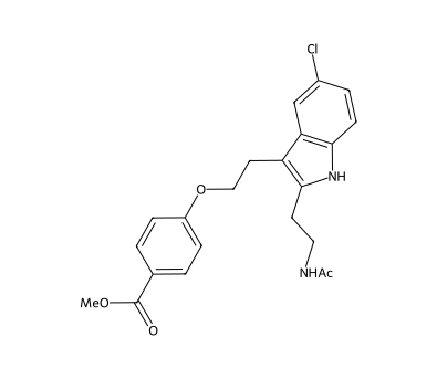 COC(=O)c1ccc(OCCc2c(CCNC(C)=O)[nH]c3ccc(Cl)cc23)cc1